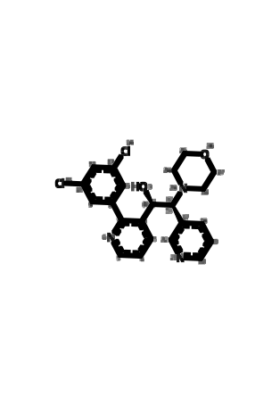 O[C@H](c1cccnc1-c1cc(Cl)cc(Cl)c1)[C@H](c1cccnc1)N1CCOCC1